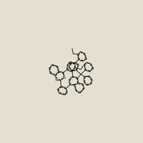 CCc1ccccc1-c1ccc(-c2nc(-c3ccccc3-c3cc4c(c5ccccc35)C(c3ccccc3)(c3ccccc3)c3ccccc3-4)nc3ccccc23)cc1CC